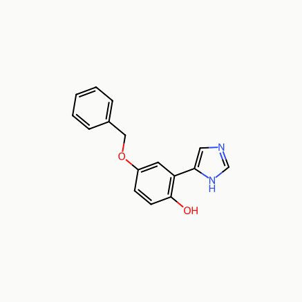 Oc1ccc(OCc2ccccc2)cc1-c1cnc[nH]1